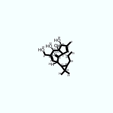 CC1=C[C@@]23C(=O)[C@@H](C=C(CO)[C@@H](O)[C@]2(O)[C@H]1O)C1C(CC3C)C1(C)C